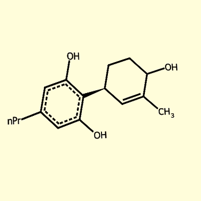 CCCc1cc(O)c([C@@H]2C=C(C)C(O)CC2)c(O)c1